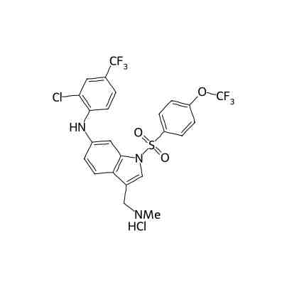 CNCc1cn(S(=O)(=O)c2ccc(OC(F)(F)F)cc2)c2cc(Nc3ccc(C(F)(F)F)cc3Cl)ccc12.Cl